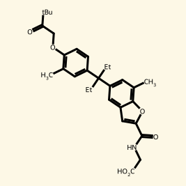 CCC(CC)(c1ccc(OCC(=O)C(C)(C)C)c(C)c1)c1cc(C)c2oc(C(=O)NCC(=O)O)cc2c1